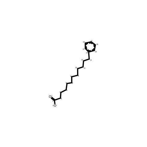 [O]C(=O)CCCCCCCCCCCc1ccccc1